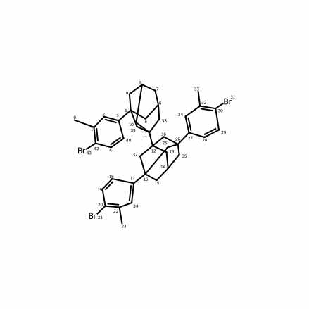 Cc1cc(C23CC4CC(C2)CC(C25CC6CC(c7ccc(Br)c(C)c7)(CC(c7ccc(Br)c(C)c7)(C6)C2)C5)(C4)C3)ccc1Br